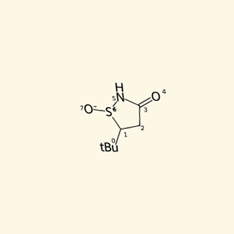 CC(C)(C)C1CC(=O)N[S+]1[O-]